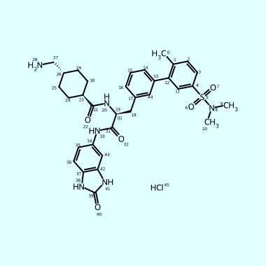 Cc1ccc(S(=O)(=O)N(C)C)cc1-c1cccc(C[C@H](NC(=O)[C@H]2CC[C@H](CN)CC2)C(=O)Nc2ccc3[nH]c(=O)[nH]c3c2)c1.Cl